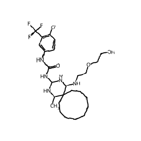 CC1NC(NC(=O)Nc2ccc(Cl)c(C(F)(F)F)c2)NC(NCCOCCO)C12CCCCCCCCC2